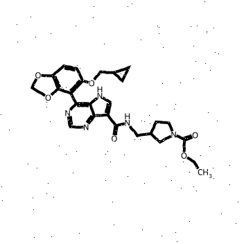 CCOC(=O)N1CCC(CNC(=O)c2c[nH]c3c(-c4c(OCC5CC5)ccc5c4OCO5)ncnc23)C1